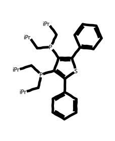 CC(C)CP(CC(C)C)c1c(-c2ccccc2)sc(-c2ccccc2)c1P(CC(C)C)CC(C)C